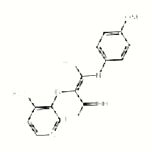 COc1ccc(N/C(C)=C(/Nc2cnccc2C(=O)O)C(C)=N)cc1